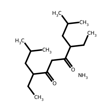 CCC(CC(C)C)C(=O)CC(=O)C(CC)CC(C)C.N